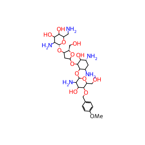 COc1ccc(CO[C@@H]2C(CO)OC(OC3C(N)C[C@@H](N)C(O)C3OC3CC(O[C@H]4OC(CN)C(O)C(O)C4N)[C@@H](CO)O3)C(N)C2O)cc1